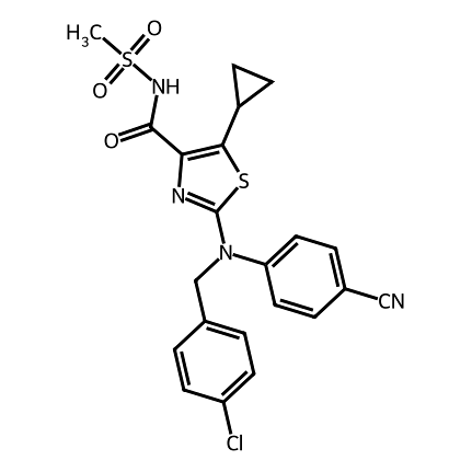 CS(=O)(=O)NC(=O)c1nc(N(Cc2ccc(Cl)cc2)c2ccc(C#N)cc2)sc1C1CC1